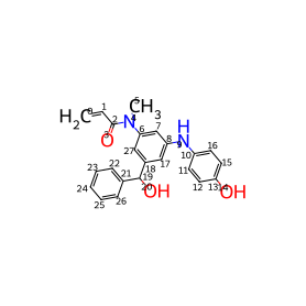 C=CC(=O)N(C)c1cc(Nc2ccc(O)cc2)cc(C(O)c2ccccc2)c1